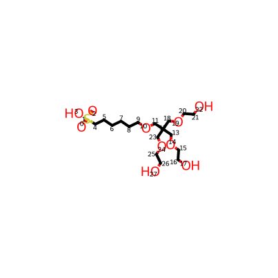 O=S(=O)(O)CCCCCCOCC(COCCO)(COCCO)COCCO